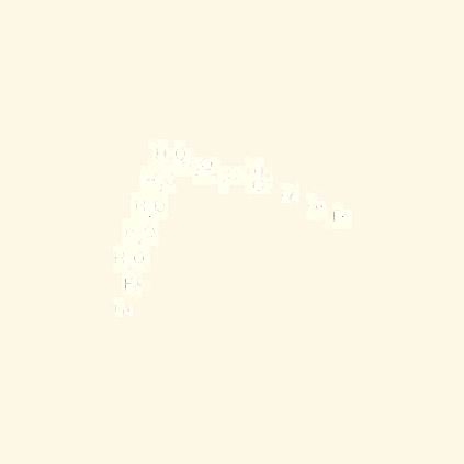 O.O.O.O.O.O.O.O.[Fe].[Fe].[Fe].[Fe].[Fe]